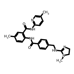 Cc1ccc(NC(=O)c2cc(C)ccc2NC(=O)c2ccc(CNC3=NCCN3C)cc2)nc1